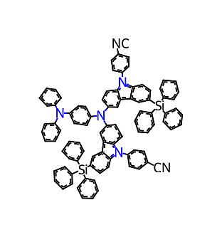 [C-]#[N+]c1ccc(-n2c3ccc(N(c4ccc(N(c5ccccc5)c5ccccc5)cc4)c4ccc5c(c4)c4cc([Si](c6ccccc6)(c6ccccc6)c6ccccc6)ccc4n5-c4ccc(C#N)cc4)cc3c3cc([Si](c4ccccc4)(c4ccccc4)c4ccccc4)ccc32)cc1